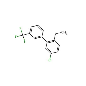 CCc1ccc(Cl)cc1-c1cccc(C(F)(F)F)c1